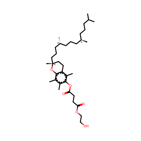 Cc1c(C)c2c(c(C)c1OC(=O)CCC(=O)OCCO)CC[C@@](C)(CCC[C@H](C)CCC[C@H](C)CCCC(C)C)O2